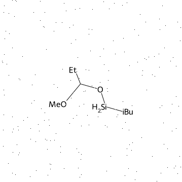 CCC(OC)O[SiH2]C(C)CC